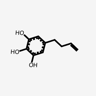 C=CCCc1cc(O)c(O)c(O)c1